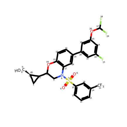 O=C(O)[C@@H]1CC1C1CN(S(=O)(=O)c2cccc(C(F)(F)F)c2)c2cc(-c3cc(F)cc(OC(F)F)c3)ccc2O1